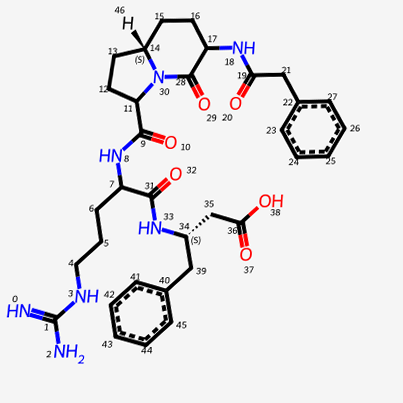 N=C(N)NCCCC(NC(=O)C1CC[C@@H]2CCC(NC(=O)Cc3ccccc3)C(=O)N12)C(=O)N[C@H](CC(=O)O)Cc1ccccc1